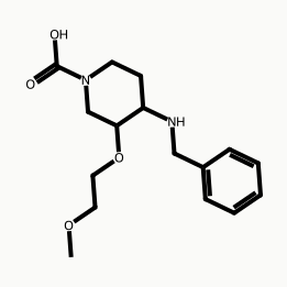 COCCOC1CN(C(=O)O)CCC1NCc1ccccc1